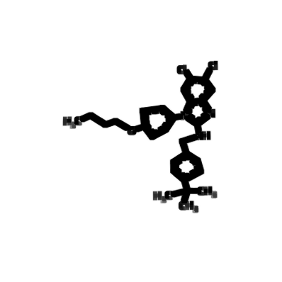 CCCCOc1ccc(-n2c(NCc3ccc(C(C)(C)C)cc3)nc3cc(Cl)c(Cl)cc32)cc1